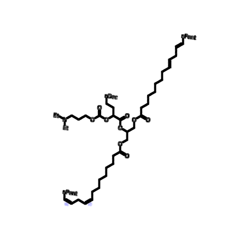 CCCCCC=CCC=CCCCCCCCC(=O)OCC(COC(=O)CCCCCCC/C=C\C/C=C\CCCCC)OC(=O)C(CCCCCCCCCCCC)OC(=O)OCCCN(CC)CC